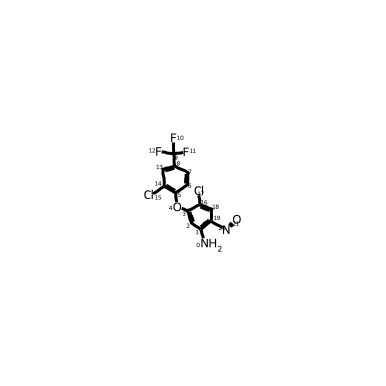 Nc1cc(Oc2ccc(C(F)(F)F)cc2Cl)c(Cl)cc1N=O